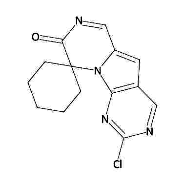 O=C1N=Cc2cc3cnc(Cl)nc3n2C12CCCCC2